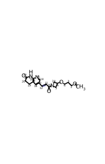 COCCCOC1CN(C(=O)/C=C/c2cnc3c(c2)CCC(=O)N3)C1